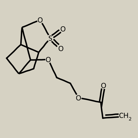 C=CC(=O)OCCOC1C2CC3C1OS(=O)(=O)C3C2